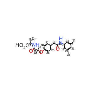 CCCC(NC(=O)C(C)(C)Oc1ccc(CC(=O)Nc2cc(C)cc(C)c2)cc1)C(=O)O